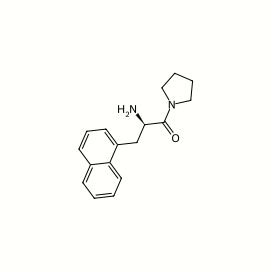 N[C@H](Cc1cccc2ccccc12)C(=O)N1CCCC1